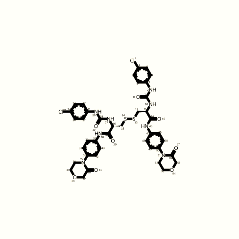 O=C(Nc1ccc(Cl)cc1)N[C@H](CSSC[C@@H](NC(=O)Nc1ccc(Cl)cc1)C(=O)Nc1ccc(N2CCOCC2=O)cc1)C(=O)Nc1ccc(N2CCOCC2=O)cc1